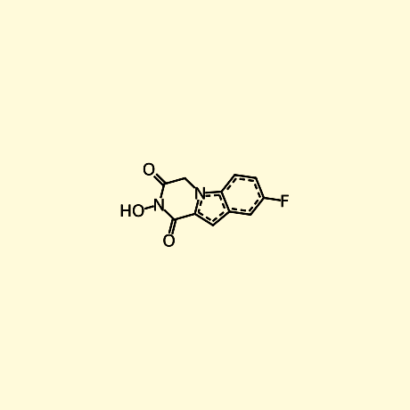 O=C1Cn2c(cc3cc(F)ccc32)C(=O)N1O